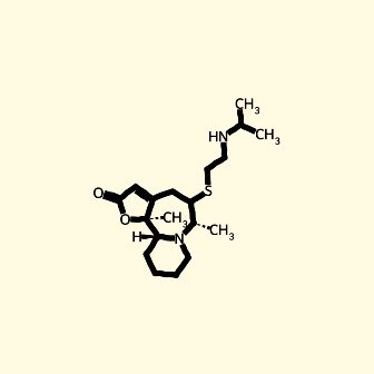 CC(C)NCCSC1CC2=CC(=O)O[C@]2(C)[C@H]2CCCCN2[C@H]1C